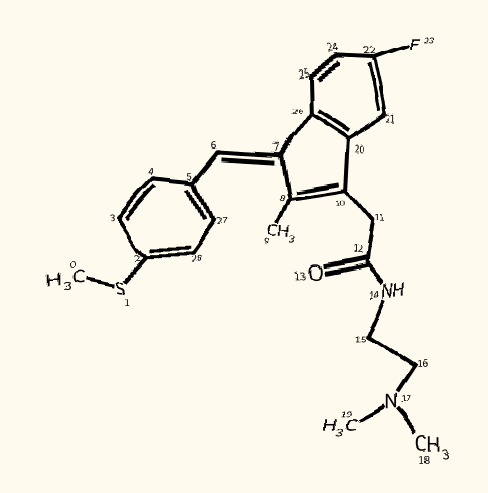 CSc1ccc(C=C2C(C)=C(CC(=O)NCCN(C)C)c3cc(F)ccc32)cc1